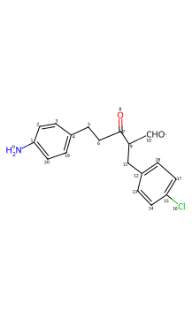 Nc1ccc(CCC(=O)C([C]=O)Cc2ccc(Cl)cc2)cc1